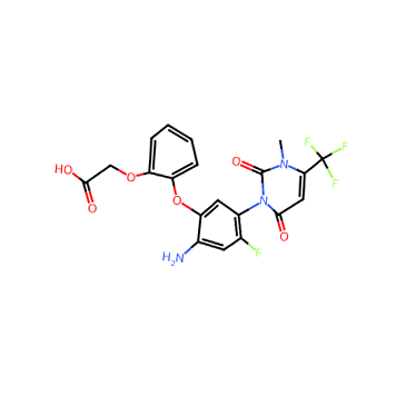 Cn1c(C(F)(F)F)cc(=O)n(-c2cc(Oc3ccccc3OCC(=O)O)c(N)cc2F)c1=O